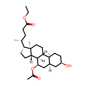 CCOC(=O)CC[C@@H](C)[C@H]1CC[C@H]2[C@@H]3[C@H](OC(C)=O)C[C@@H]4C[C@H](O)CC[C@]4(C)[C@H]3CC[C@]12C